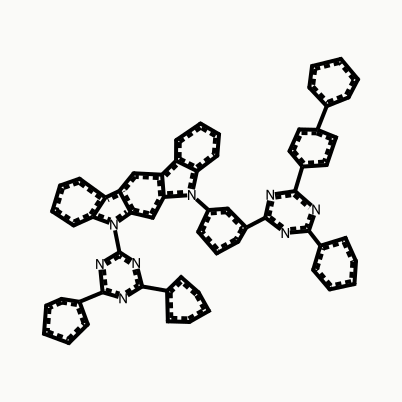 c1ccc(-c2ccc(-c3nc(-c4ccccc4)nc(-c4cccc(-n5c6ccccc6c6cc7c8ccccc8n(-c8nc(-c9ccccc9)nc(-c9ccccc9)n8)c7cc65)c4)n3)cc2)cc1